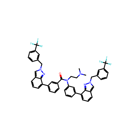 CN(C)CCN(C(=O)c1cccc(-c2cccc3cn(Cc4cccc(C(F)(F)F)c4)nc23)c1)c1cccc(-c2cccc3cn(Cc4cccc(C(F)(F)F)c4)nc23)c1